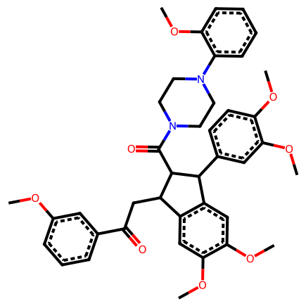 COc1cccc(C(=O)CC2c3cc(OC)c(OC)cc3C(c3ccc(OC)c(OC)c3)C2C(=O)N2CCN(c3ccccc3OC)CC2)c1